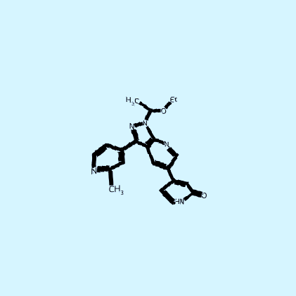 CCOC(C)n1nc(-c2ccnc(C)c2)c2cc(-c3cc[nH]c(=O)c3)cnc21